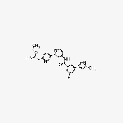 CCOC(=N)Cc1ccc(-c2cc(NC(=O)c3cc(F)cc(-n4cnc(C)c4)c3)ccn2)cn1